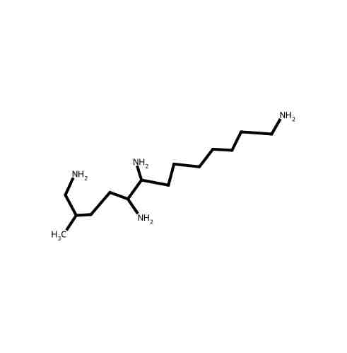 CC(CN)CCC(N)C(N)CCCCCCCN